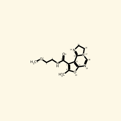 COCCNC(=O)c1c(C)oc2c1C1=NCCN1C=N2